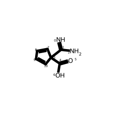 N=C(N)C1(C(=O)O)C=CC=C1